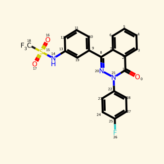 O=c1c2ccccc2c(-c2cccc(NS(=O)(=O)C(F)(F)F)c2)nn1-c1ccc(F)cc1